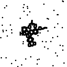 CCCOc1ccc2c(c1OC)CC(C(=O)O)(c1ccccc1OCC(C)C)C2c1ccc2c(c1)OCO2